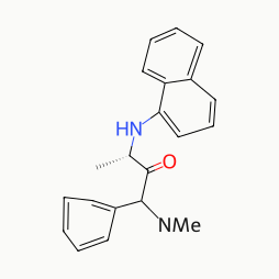 CNC(C(=O)[C@H](C)Nc1cccc2ccccc12)c1ccccc1